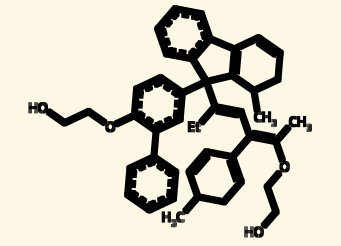 CC/C(=C\C(C1=CCC(C)C=C1)=C(/C)OCCO)C1(c2ccc(OCCO)c(-c3ccccc3)c2)C2=C(C=CCC2C)c2ccccc21